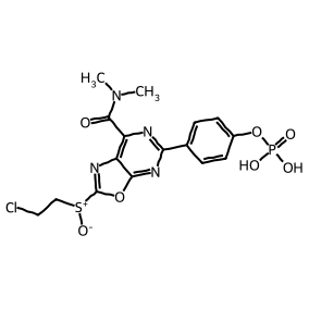 CN(C)C(=O)c1nc(-c2ccc(OP(=O)(O)O)cc2)nc2oc([S+]([O-])CCCl)nc12